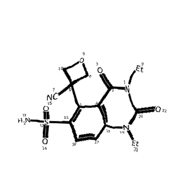 CCn1c(=O)c2c(C3(C#N)COC3)c(S(N)(=O)=O)ccc2n(CC)c1=O